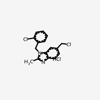 Cc1nc2ccc(CCl)cc2n1Cc1ccccc1Cl.Cl